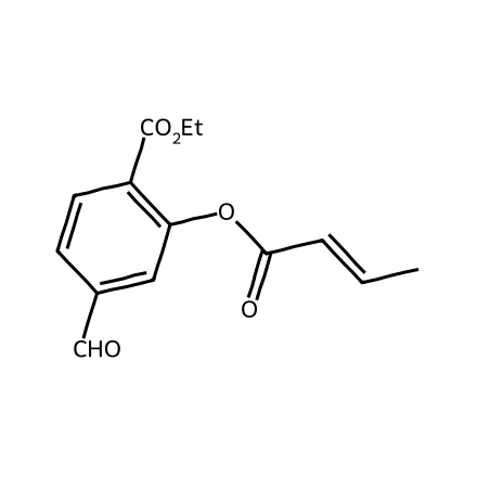 CC=CC(=O)Oc1cc(C=O)ccc1C(=O)OCC